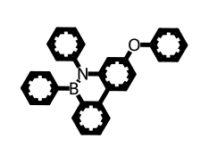 c1ccc(Oc2ccc3c(c2)N(c2ccccc2)B(c2ccccc2)c2ccccc2-3)cc1